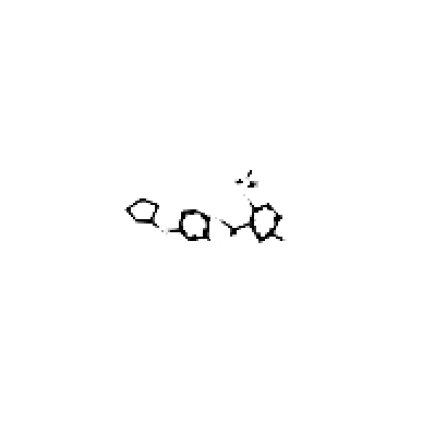 CS(=O)(=O)Nc1ccc(Cl)cc1C(=O)Nc1ccc(NC2CCCC2)cc1Cl